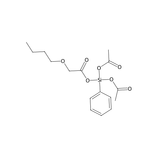 CCCCOCC(=O)O[Si](OC(C)=O)(OC(C)=O)c1ccccc1